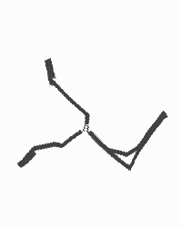 C=CCB(CC=C)C1CC1=C